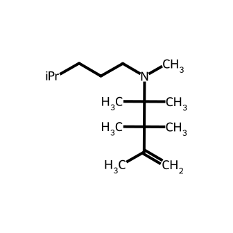 C=C(C)C(C)(C)C(C)(C)N(C)CCCC(C)C